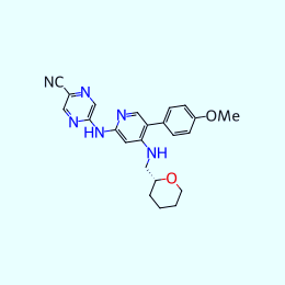 COc1ccc(-c2cnc(Nc3cnc(C#N)cn3)cc2NC[C@H]2CCCCO2)cc1